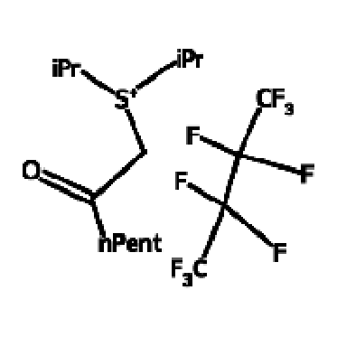 CCCCCC(=O)C[S+](C(C)C)C(C)C.FC(F)(F)C(F)(F)C(F)(F)C(F)(F)F